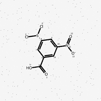 ClSCl.O=C(O)c1cccc([N+](=O)[O-])c1